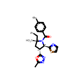 Cc1nnc([C@@H]2C[C@@](CC(C)C)(C(=O)O)N(C(=O)c3ccc(C(C)(C)C)cc3)[C@H]2c2nccs2)o1